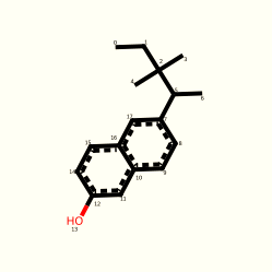 CCC(C)(C)C(C)c1ccc2cc(O)ccc2c1